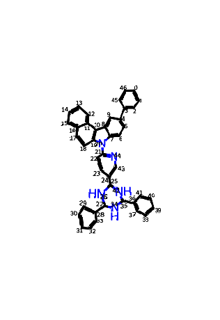 c1ccc(-c2ccc3c(c2)c2c4ccccc4ccc2n3-c2ccc(C3NC(c4ccccc4)NC(c4ccccc4)N3)cn2)cc1